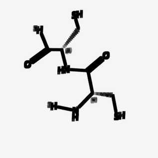 [3H]N[C@@H](CS)C(=O)N[C@@H](CS)C([3H])=O